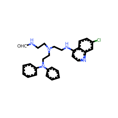 O=CNCCN(CCNc1ccnc2cc(Cl)ccc12)CCN(c1ccccc1)c1ccccc1